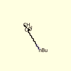 C=CCOC(=O)CCCCCCCCC/C=C/C=C/CCCC